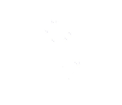 CC(C)(C)OC(=O)NC1CCC(n2nc(I)c3c(N)ncnc32)CC1